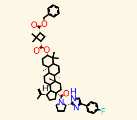 C=C(C)[C@@H]1CC[C@]2(C(=O)N3CCC[C@H]3c3nc(-c4ccc(F)cc4)c[nH]3)CC[C@]3(C)[C@H](CCC4[C@@]5(C)CC[C@H](OC(=O)[C@H]6C[C@@H](C(=O)OCc7ccccc7)C6(C)C)C(C)(C)C5CC[C@]43C)C12